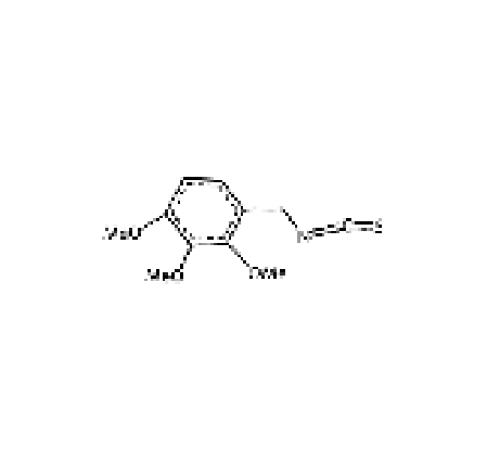 COc1ccc(CN=C=S)c(OC)c1OC